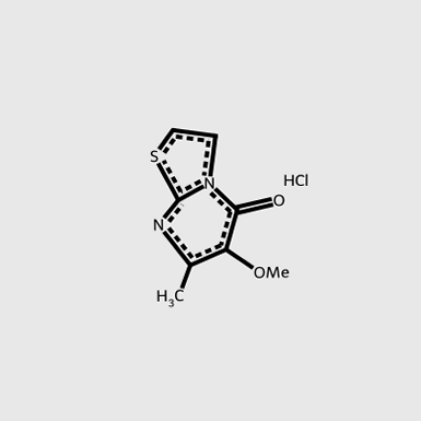 COc1c(C)nc2sccn2c1=O.Cl